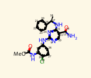 COC(=O)Nc1cc(Nc2ncc(C(N)=O)c(N[C@H](C)c3ccccc3)n2)ccc1Cl